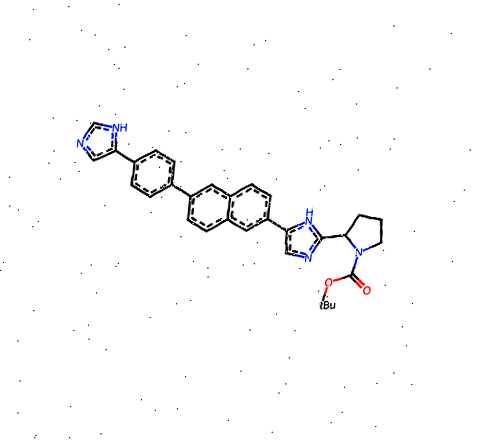 CC(C)(C)OC(=O)N1CCCC1c1ncc(-c2ccc3cc(-c4ccc(-c5cn[c][nH]5)cc4)ccc3c2)[nH]1